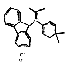 C[C](C)=[Zr+2]([C]1=CCC(C)(C)C=C1)[CH]1c2ccccc2-c2ccccc21.[Cl-].[Cl-]